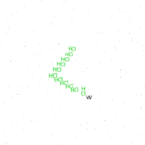 Cl.Cl.Cl.Cl.Cl.Cl.Cl.Cl.Cl.Cl.Cl.[W]